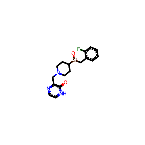 O=c1[nH]ccnc1CN1CCC([S+]([O-])Cc2ccccc2F)CC1